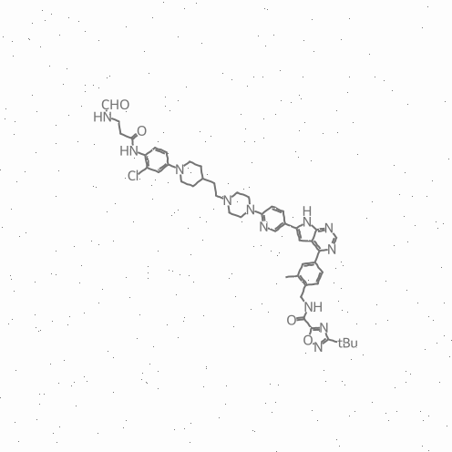 Cc1cc(-c2ncnc3[nH]c(-c4ccc(N5CCN(CCC6CCN(c7ccc(NC(=O)CCNC=O)c(Cl)c7)CC6)CC5)nc4)cc23)ccc1CNC(=O)c1nc(C(C)(C)C)no1